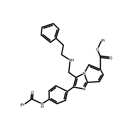 CC(C)OC(=O)c1ccc2nc(-c3ccc(NC(=O)C(C)C)cc3)c(CNCCc3ccccc3)n2c1